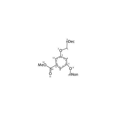 CCCCCCCCCCCOc1cc(OCCCCCCCCC)cc(C(=O)OC)c1